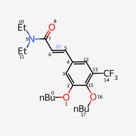 CCCCOc1cc(/C=C/C(=O)N(CC)CC)cc(C(F)(F)F)c1OCCCC